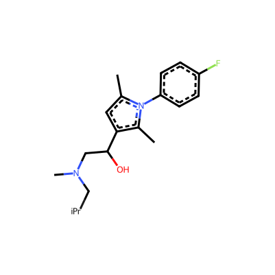 Cc1cc(C(O)CN(C)CC(C)C)c(C)n1-c1ccc(F)cc1